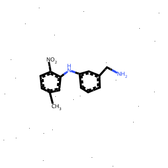 Cc1ccc([N+](=O)[O-])c(Nc2cccc(CN)c2)c1